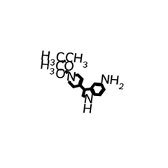 CC(C)(C)OC(=O)N1CC=C(C2CNc3ccc(N)cc32)CC1